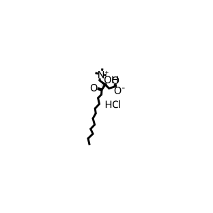 CCCCCCCCCCCC(=O)[C@@](O)(CC(=O)[O-])C[N+](C)(C)C.Cl